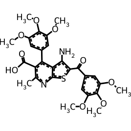 COc1cc(C(=O)c2sc3nc(C)c(C(=O)O)c(-c4cc(OC)c(OC)c(OC)c4)c3c2N)cc(OC)c1OC